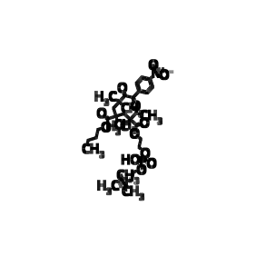 CCCCOC(=O)C(C)(CC(C)(C)C(=O)C(=O)c1ccc([N+](=O)[O-])cc1)CC(C)(CC)C(=O)OCCOP(=O)(O)OCC[N+](C)(C)C